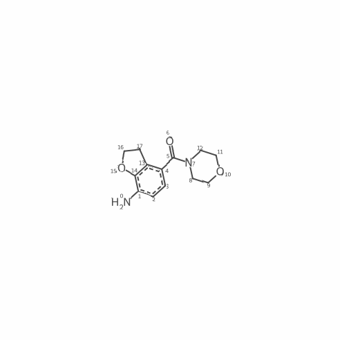 Nc1ccc(C(=O)N2CCOCC2)c2c1OCC2